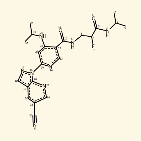 CC(C)NC(=O)C(F)CNC(=O)c1cnc(-n2ncc3cc(C#N)cnc32)cc1NC(C)C